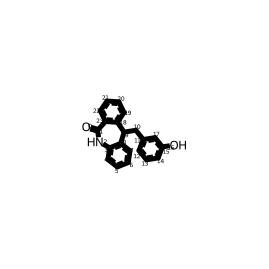 O=C1Nc2ccccc2C(Cc2cccc(O)c2)c2ccccc21